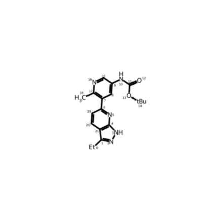 CCc1n[nH]c2nc(-c3cc(NC(=O)OC(C)(C)C)cnc3C)ccc12